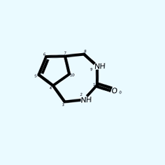 O=C1NCC2C=CC(CN1)C2